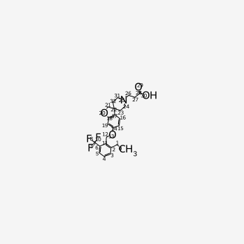 CCc1cccc(C(F)(F)F)c1COc1ccc2c(c1)OCC21CCN(CCC(=O)O)CC1